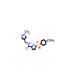 COc1ccc(S(=O)(=O)C2C=CC(C(=O)NCc3cnn(C)c3)=N2)cc1